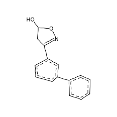 OC1CC(c2cccc(-c3ccccc3)c2)=NO1